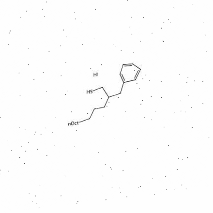 CCCCCCCCCCCC(CS)Cc1ccccc1.I